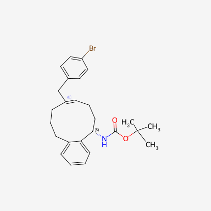 CC(C)(C)OC(=O)N[C@H]1CC/C=C(/Cc2ccc(Br)cc2)CCCc2ccccc21